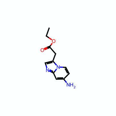 CCOC(=O)Cc1cnc2cc(N)ccn12